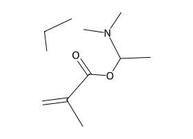 C=C(C)C(=O)OC(C)N(C)C.CCC